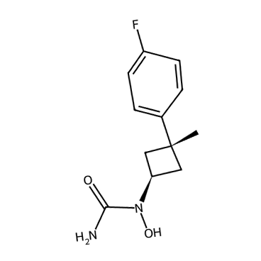 C[C@]1(c2ccc(F)cc2)C[C@H](N(O)C(N)=O)C1